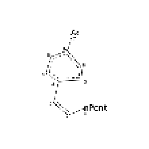 CCCCC/C=C\c1ccc(C(C)=O)cc1